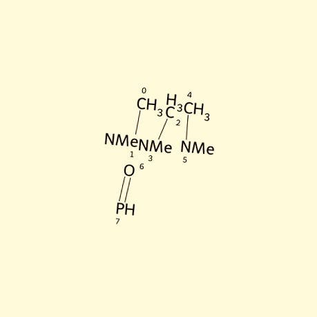 CNC.CNC.CNC.O=P